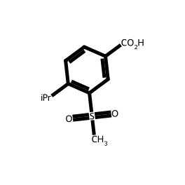 CC(C)c1ccc(C(=O)O)cc1S(C)(=O)=O